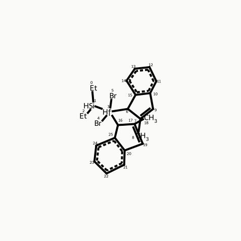 CC[SiH](CC)[Hf]([Br])([Br])([CH]1C(C)=Cc2ccccc21)[CH]1C(C)=Cc2ccccc21